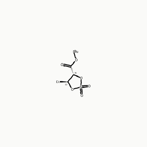 CC[C@@H]1OS(=O)(=O)O[C@H]1C(=O)OC(C)(C)C